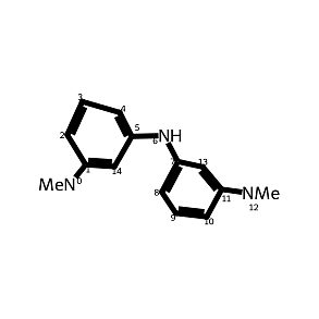 CNc1cccc(Nc2cccc(NC)c2)c1